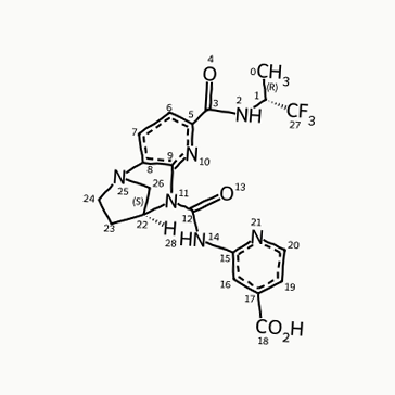 C[C@@H](NC(=O)c1ccc2c(n1)N(C(=O)Nc1cc(C(=O)O)ccn1)[C@H]1CCN2C1)C(F)(F)F